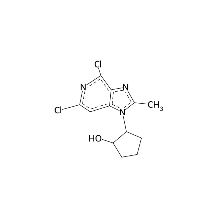 Cc1nc2c(Cl)nc(Cl)cc2n1C1CCCC1O